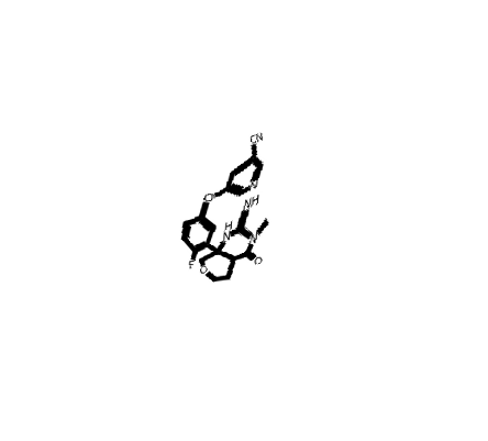 CN1C(=N)NC2(c3cc(Oc4cncc(C#N)c4)ccc3F)COCCC2C1=O